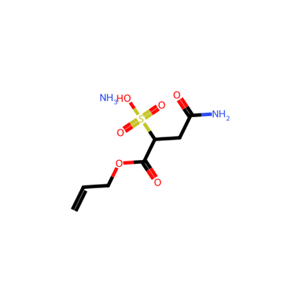 C=CCOC(=O)C(CC(N)=O)S(=O)(=O)O.N